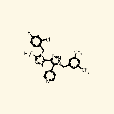 Cc1nnc(-c2nnn(Cc3cc(C(F)(F)F)cc(C(F)(F)F)c3)c2-c2ccncc2)n1Cc1ccc(F)cc1Cl